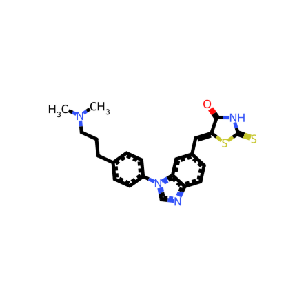 CN(C)CCCc1ccc(-n2cnc3ccc(/C=C4\SC(=S)NC4=O)cc32)cc1